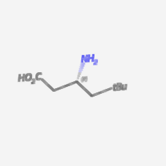 CC(C)(C)C[C@@H](N)CC(=O)O